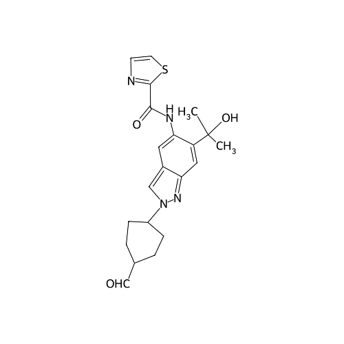 CC(C)(O)c1cc2nn(C3CCC(C=O)CC3)cc2cc1NC(=O)c1nccs1